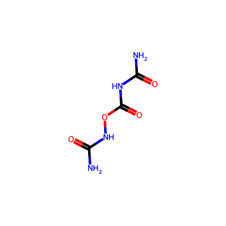 NC(=O)NOC(=O)NC(N)=O